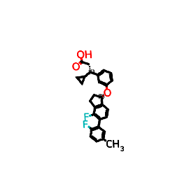 Cc1ccc(F)c(-c2ccc3c(c2F)CC[C@H]3Oc2cccc([C@@H](CC(=O)O)C3CC3)c2)c1